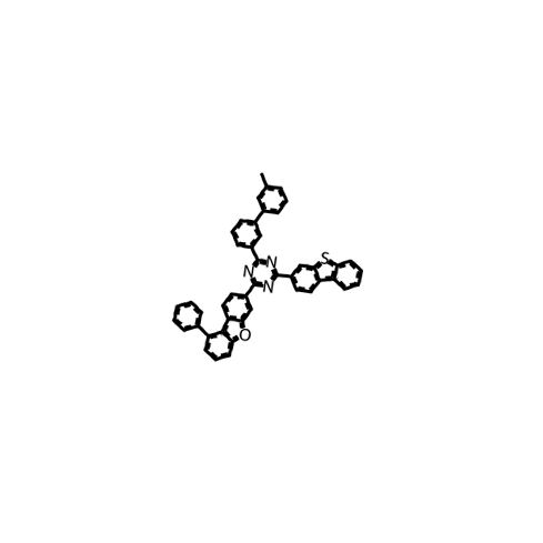 Cc1cccc(-c2cccc(-c3nc(-c4ccc5c(c4)oc4cccc(-c6ccccc6)c45)nc(-c4ccc5c(c4)sc4ccccc45)n3)c2)c1